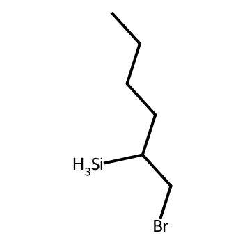 CCCCC([SiH3])CBr